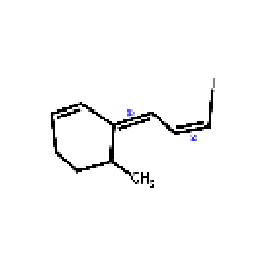 CC1CCC=C/C1=C/C=C\I